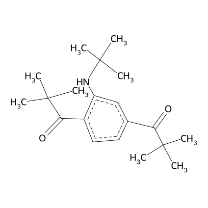 CC(C)(C)Nc1cc(C(=O)C(C)(C)C)ccc1C(=O)C(C)(C)C